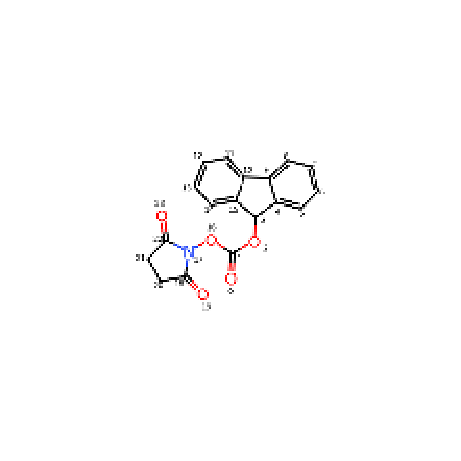 O=C(OC1c2ccccc2-c2ccccc21)ON1C(=O)CCC1=O